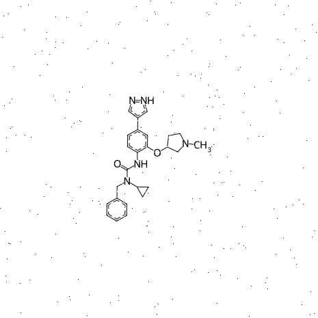 CN1CCC(Oc2cc(-c3cn[nH]c3)ccc2NC(=O)N(Cc2ccccc2)C2CC2)C1